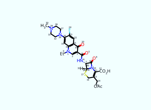 CCn1cc(C(=O)N[C@@H]2C(=O)N3C(C(=O)O)=C(COC(C)=O)CS[C@H]23)c(=O)c2cc(F)c(N3CCN(C)CC3)cc21